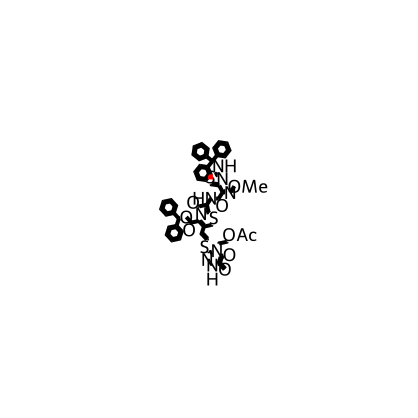 CO/N=C(/C(=O)NC1C(=O)N2C(C(=O)OC(c3ccccc3)c3ccccc3)=C(/C=C/Sc3n[nH]c(=O)c(=O)n3CCOC(C)=O)CSC12)c1csc(NC(c2ccccc2)(c2ccccc2)c2ccccc2)n1